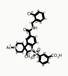 CC(=O)N1CCC2(CC1)c1cc(C(=O)NCc3ccccc3Cl)ccc1N(S(=O)(=O)c1cccc(C(=O)O)c1)C2C